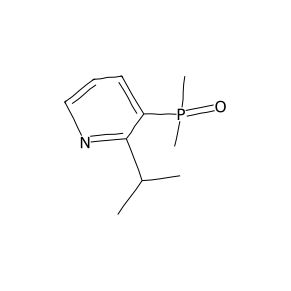 CC(C)c1ncccc1P(C)(C)=O